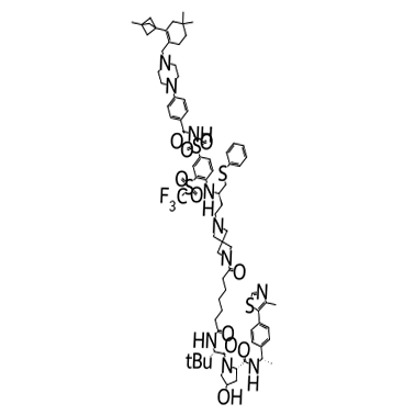 Cc1ncsc1-c1ccc([C@H](C)NC(=O)[C@@H]2C[C@@H](O)CN2C(=O)[C@@H](NC(=O)CCCCCC(=O)N2CC3(CN(CC[C@H](CSc4ccccc4)Nc4ccc(S(=O)(=O)NC(=O)c5ccc(N6CCN(CC7=C(C89CC(C)(C8)C9)CC(C)(C)CC7)CC6)cc5)cc4S(=O)(=O)C(F)(F)F)C3)C2)C(C)(C)C)cc1